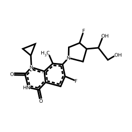 Cc1c(N2CC(F)C(C(O)CO)C2)c(F)cc2c(=O)[nH]c(=O)n(C3CC3)c12